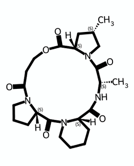 C[C@H]1C[C@H]2C(=O)OCCC(=O)N3CCC[C@H]3C(=O)N3CCCC[C@H]3C(=O)N[C@@H](C)C(=O)N2C1